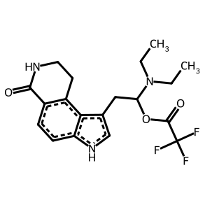 CCN(CC)C(Cc1c[nH]c2ccc3c(c12)CCNC3=O)OC(=O)C(F)(F)F